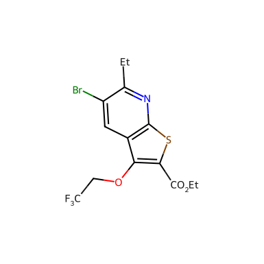 CCOC(=O)c1sc2nc(CC)c(Br)cc2c1OCC(F)(F)F